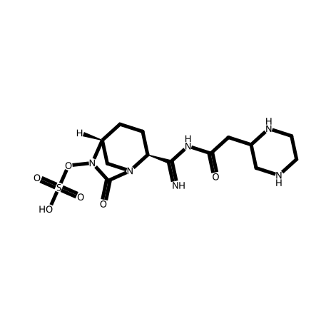 N=C(NC(=O)CC1CNCCN1)[C@@H]1CC[C@@H]2CN1C(=O)N2OS(=O)(=O)O